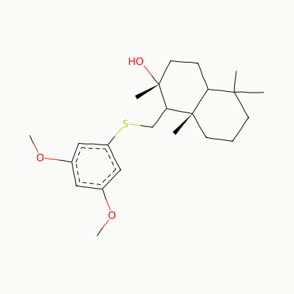 COc1cc(OC)cc(SCC2[C@@]3(C)CCCC(C)(C)C3CC[C@@]2(C)O)c1